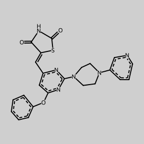 O=C1NC(=O)C(=Cc2cc(Oc3ccccc3)nc(N3CCN(c4cccnc4)CC3)n2)S1